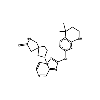 CC1(C)CCNc2cc(NC3=N[N+]4(N5CC[C@@]6(CNC(=O)C6)C5)C=CN=CC4=N3)ccc21